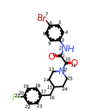 O=C(Nc1ccc(Br)cc1)C(=O)N1CCC(Cc2ccc(F)cc2)CC1